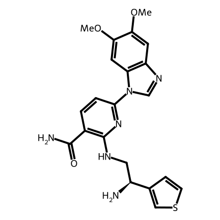 COc1cc2ncn(-c3ccc(C(N)=O)c(NC[C@H](N)c4ccsc4)n3)c2cc1OC